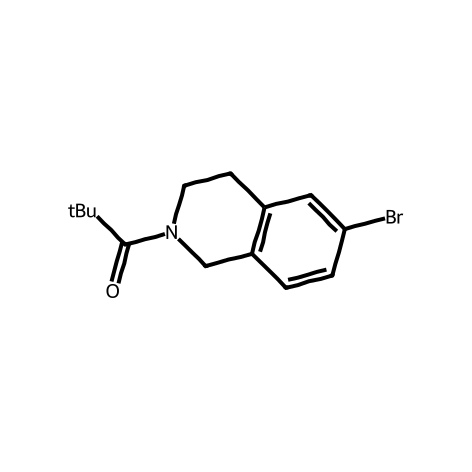 CC(C)(C)C(=O)N1CCc2cc(Br)ccc2C1